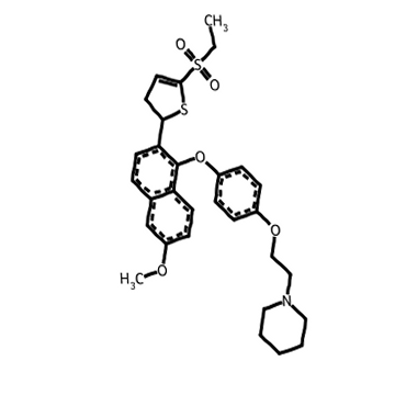 CCS(=O)(=O)C1=CCC(c2ccc3cc(OC)ccc3c2Oc2ccc(OCCN3CCCCC3)cc2)S1